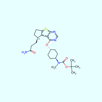 CN(C(=O)OC(C)(C)C)[C@H]1CC[C@H](Oc2ncnc3sc4c(c23)[C@@H](CCC(N)=O)CC4)CC1